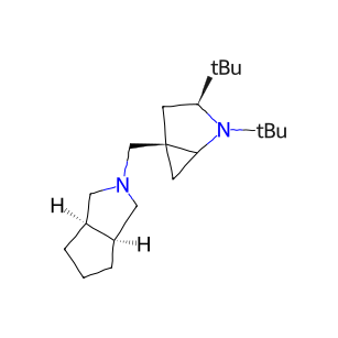 CC(C)(C)[C@@H]1C[C@@]2(CN3C[C@H]4CCC[C@H]4C3)CC2N1C(C)(C)C